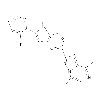 Cc1ncc(C)n2nc(-c3ccc4[nH]c(-c5ncccc5F)nc4c3)nc12